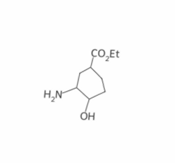 CCOC(=O)C1CCC(O)C(N)C1